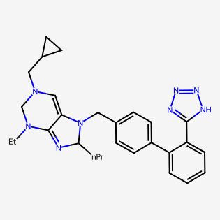 CCCC1N=C2C(=CN(CC3CC3)CN2CC)N1Cc1ccc(-c2ccccc2-c2nnn[nH]2)cc1